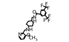 COc1cccnc1CNC1CCC(CNC(=O)c2cc(C(F)(F)F)cc(C(F)(F)F)c2)CC1